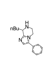 CCCCC1NCCn2c(-c3ccccc3)cnc21